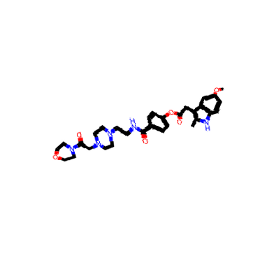 COc1ccc2[nH]c(C)c(CC(=O)Oc3ccc(C(=O)NCCN4CCN(CC(=O)N5CCOCC5)CC4)cc3)c2c1